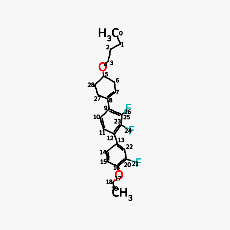 CCCCOC1CC=C(c2ccc(-c3ccc(OCC)c(F)c3)c(F)c2F)CC1